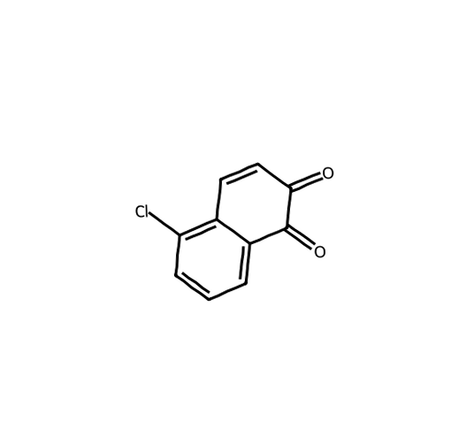 O=C1C=Cc2c(Cl)cccc2C1=O